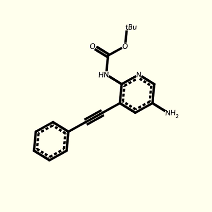 CC(C)(C)OC(=O)Nc1ncc(N)cc1C#Cc1ccccc1